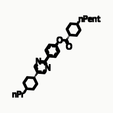 CCCCC[C@H]1CC[C@H](C(=O)Oc2ccc(-c3ncc([C@H]4CC[C@H](CCC)CC4)cn3)cc2)CC1